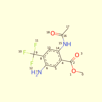 COC(=O)c1cc(N)c(C(F)(F)F)cc1NC(C)=O